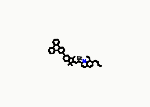 C=C/C=C\C1C=Cc2ccc(C(/C=C3\C(C)C4=C(CCC(C5=CC=C6c7ccccc7-c7ccccc7C6C5)=C4)C3(C)C)CC)nc2C1C=C